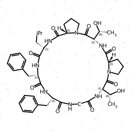 CC(C)C[C@@H]1NC(=O)[C@@H]2CCCN2C(=O)[C@H]([C@@H](C)O)NC(=O)[C@@H]2CCCN2C(=O)[C@H]([C@@H](C)O)NC(=O)CNC(=O)[C@H](Cc2ccccc2)NC(=O)[C@H](Cc2ccccc2)NC1=O